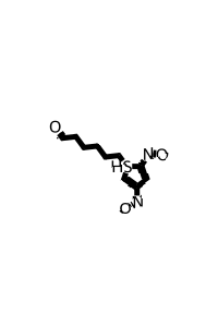 O=[C]CCCCC[SH]1C=C(N=O)C=C1N=O